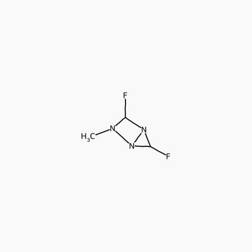 CN1C(F)N2C(F)N12